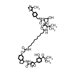 Cc1ncsc1-c1ccc(CNC(=O)[C@@H]2C[C@@H](O)CN2C(=O)[C@@H](NC(=O)CCCCCCCCCCNC(=O)COc2ccc3c(c2)[C@H](NC(=O)c2cc(-c4ccc(C(=O)N(C)C)c(O)c4)on2)CC3)C(C)(C)C)cc1